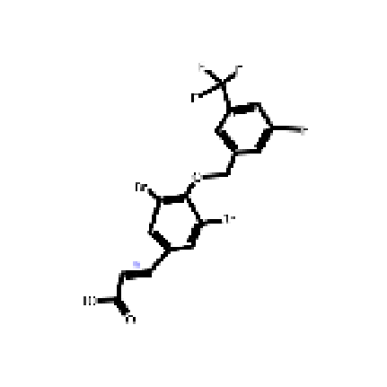 O=C(O)/C=C/c1cc(Br)c(OCc2cc(F)cc(C(F)(F)F)c2)c(Br)c1